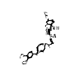 C[C@@H](CCNC(=S)Nc1ccc(F)cc1F)CN1CCN(Cc2ccc(Cl)c(Cl)c2)CC1